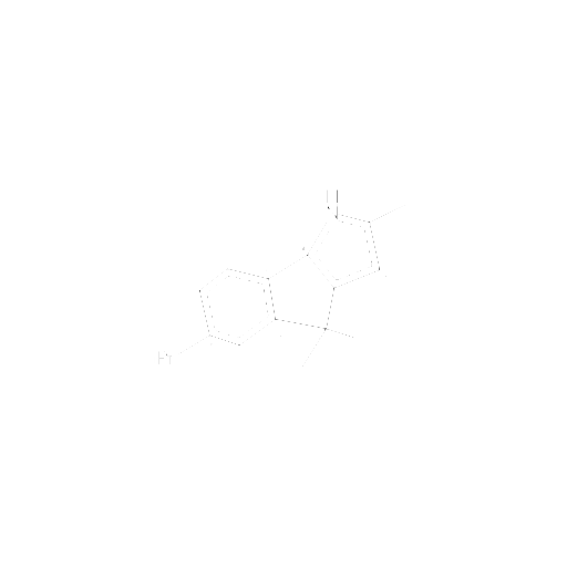 Cc1cc2c([nH]1)-c1ccc(C(C)C)cc1C2(C)C